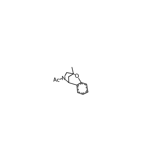 CC(=O)N1CC2(C)CC1c1ccccc1O2